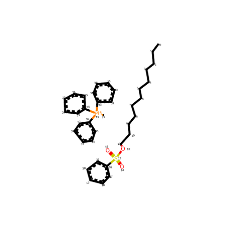 CCCCCCCCCCCCOS(=O)(=O)c1ccccc1.C[PH](c1ccccc1)(c1ccccc1)c1ccccc1